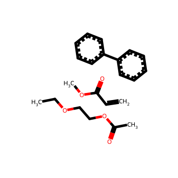 C=CC(=O)OC.CCOCCOC(C)=O.c1ccc(-c2ccccc2)cc1